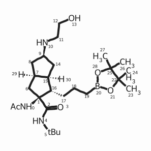 CC(=O)N[C@@]1(C(=O)NC(C)(C)C)C[C@H]2C[C@@H](NCCO)C[C@H]2[C@@H]1CCCB1OC(C)(C)C(C)(C)O1